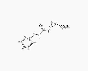 CCOC(=O)C1CC1CC(=O)OCc1ccccc1